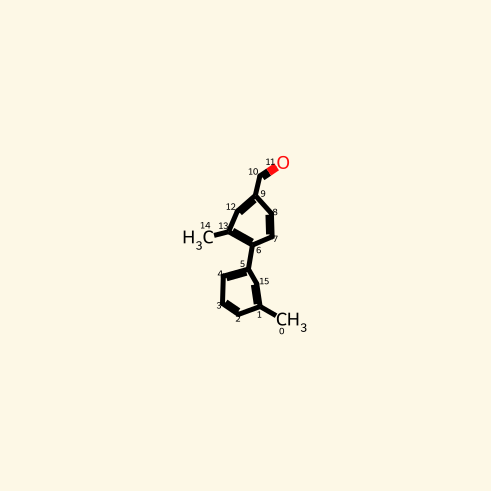 Cc1cccc(-c2ccc(C=O)cc2C)c1